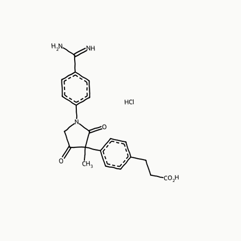 CC1(c2ccc(CCC(=O)O)cc2)C(=O)CN(c2ccc(C(=N)N)cc2)C1=O.Cl